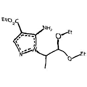 CCOC(=O)c1cnn(C(C)C(OCC)OCC)c1N